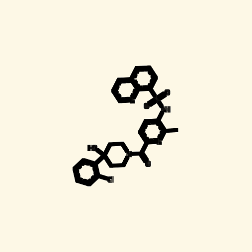 Cc1nc(C(=O)N2CCC(O)(c3ccccc3Cl)CC2)ccc1NS(=O)(=O)c1cccc2cccnc12